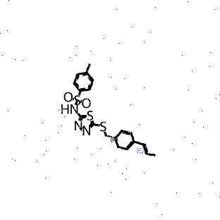 C/C=C/C1=CC[C@@H](CSc2nnc(NS(=O)(=O)c3ccc(C)cc3)s2)C=C1